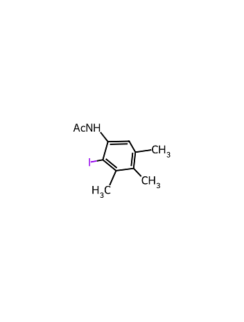 CC(=O)Nc1cc(C)c(C)c(C)c1I